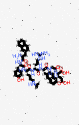 CC(C)NCCCC[C@H](NC(=O)[C@H](Cc1ccc(O)cc1)NC(=O)[C@@H](N)Cc1ccc2ccccc2c1)C(=O)N[C@H](CCCNC(=N)N)C(=O)N[C@@H](Cc1ccc2ccccc2c1)C(=O)NCC(=O)N[C@H](CCC(=O)O)C(=O)O